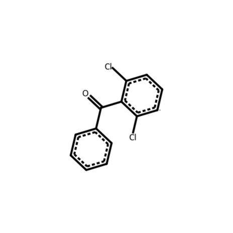 O=C(c1ccccc1)c1c(Cl)[c]ccc1Cl